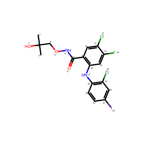 CC(C)(O)CONC(=O)c1cc(Cl)c(F)cc1Nc1ccc(I)cc1Cl